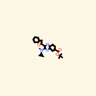 CN(c1nc2cc(C(=O)OC(C)(C)C)ccc2nc1-c1cc2ccccc2o1)C1CC1